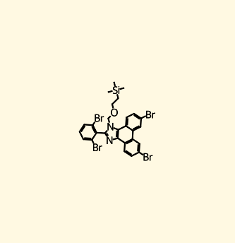 C[Si](C)(C)CCOCn1c(-c2c(Br)cccc2Br)nc2c3ccc(Br)cc3c3cc(Br)ccc3c21